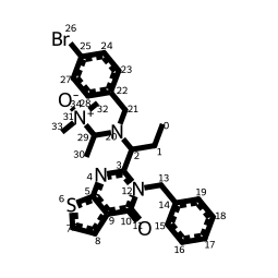 CCC(c1nc2sccc2c(=O)n1Cc1ccccc1)N(Cc1ccc(Br)cc1)C(C)[N+](C)(C)[O-]